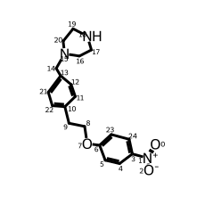 O=[N+]([O-])c1ccc(OCCc2ccc(CN3CCNCC3)cc2)cc1